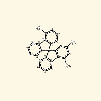 Cc1cc(C)c2c(c1)C1(c3ccccc3-c3c(C)cccc31)c1ccccc1-2